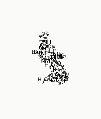 CNC(C)C(=O)NC(C(=O)N1Cc2cc(NC(=O)CNC(=O)C3(C)CN(C(=O)CN4C[C@@H](C)NC[C@@H]4CN4CCOC[C@H]4C)c4cc(Cc5ccc(F)cc5)ccc43)ccc2C[C@H]1C(=O)N[C@@H]1CCCc2ccccc21)C(C)(C)C.Cl.Cl.Cl